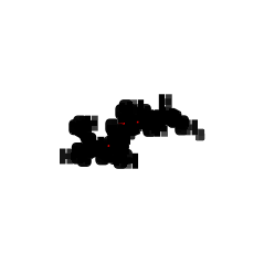 CCOc1cc(N=Nc2cc3c(OCCCS(=O)(=O)O)cc(S(=O)(=O)O)cc3cc2S(=O)(=O)O)c2cc(S(=O)(=O)O)ccc2c1N=Nc1ccc(N=Nc2c(S(=O)(=O)O)cc3cc(Nc4ccc(OC)cc4)ccc3c2O)c2cc(S(=O)(=O)O)ccc12